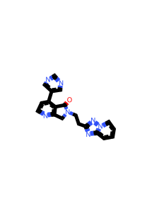 O=C1c2c(-c3cncnc3)ccnc2CN1CCc1nc2ccccn2n1